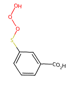 O=C(O)c1cccc(SOOO)c1